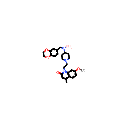 BN(Cc1ccc2c(c1)OCCO2)C1CCN(CCn2c(=O)cc(C)c3ccc(OCC)cc32)CC1